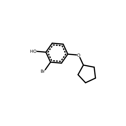 Oc1ccc(OC2CCCC2)cc1Br